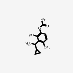 CCCC(=O)Oc1ccc(C)c(C(C)C2CC2)c1O